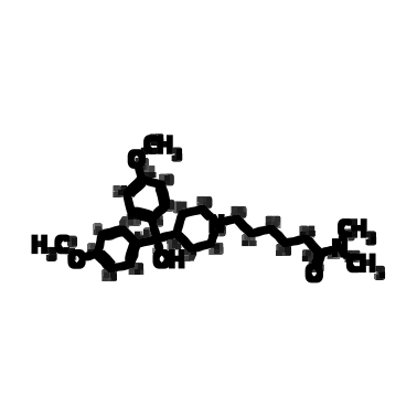 COc1ccc(C(O)(c2ccc(OC)cc2)C2CCN(CCCCCC(=O)N(C)C)CC2)cc1